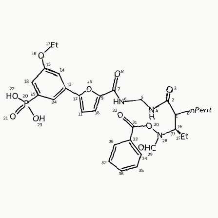 CCCCCC(C(=O)NCNC(=O)c1ccc(-c2cc(OCC)cc(P(=O)(O)O)c2)o1)[C@@H](CC)N(C=O)OC(=O)c1ccccc1